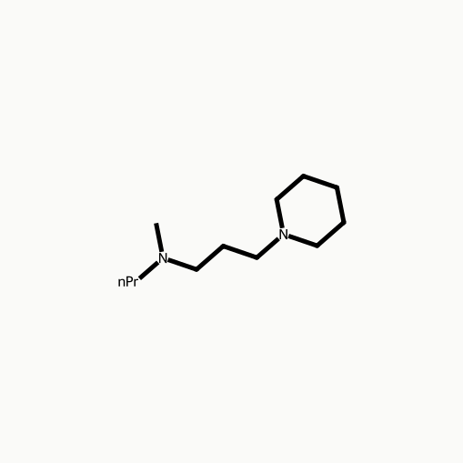 CCCN(C)CCCN1CCCCC1